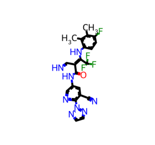 Cc1c(F)ccc(N/C(=C(\C=N)C(=O)Nc2cnc(-n3nccn3)c(C#N)c2)C(F)(F)F)c1C